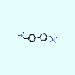 CN(C)Cc1ccc(-c2ccc(C[N+](C)(C)C)cc2)cc1